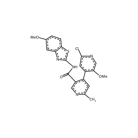 COc1ccc2sc(NC(=O)c3cnc(C)cc3-c3cc(Cl)ncc3OC)nc2c1